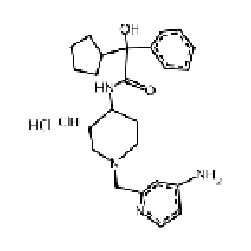 Cl.Cl.Nc1ccnc(CN2CCC(NC(=O)C(O)(c3ccccc3)C3CCCC3)CC2)c1